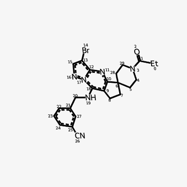 CCC(=O)N1CCC2(CCc3c2nc2c(Br)cnn2c3NCc2cccc(C#N)c2)CC1